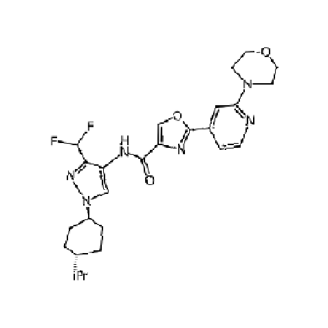 CC(C)[C@H]1CC[C@H](n2cc(NC(=O)c3coc(-c4ccnc(N5CCOCC5)c4)n3)c(C(F)F)n2)CC1